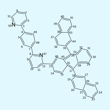 c1ccc(-c2ccc(-c3cccc(-c4ccc5c(-c6ccc7ccccc7c6)c6ccccc6c(-c6ccc7ccccc7c6)c5c4)n3)cc2)nc1